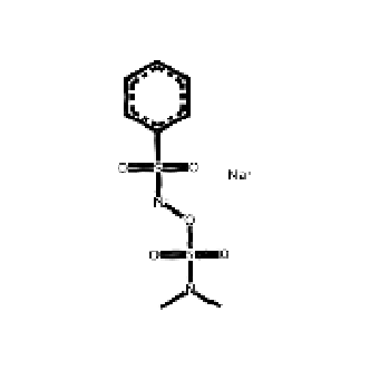 CN(C)S(=O)(=O)O[N-]S(=O)(=O)c1ccccc1.[Na+]